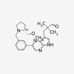 COC[C@H]1CCCN1Cc1cccc(-c2cnc3[nH]cc(CC(C)(C)C=O)c3n2)c1